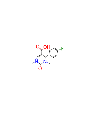 CN1C=C(C(=O)O)C(c2ccc(F)cc2)N(C)C1=O